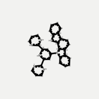 c1cnc(-c2cc(-n3c4ccccc4c4ccc5c6ccccc6sc5c43)cc(-c3ncccn3)n2)nc1